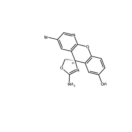 NC1=N[C@]2(CO1)c1cc(O)ccc1Oc1ncc(Br)cc12